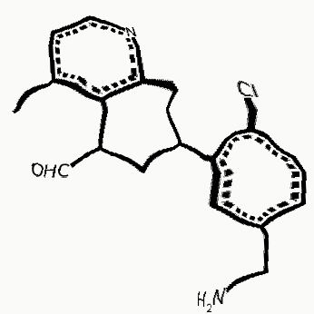 Cc1ccnc2c1C(C=O)CC(c1cc(CN)ccc1Cl)C2